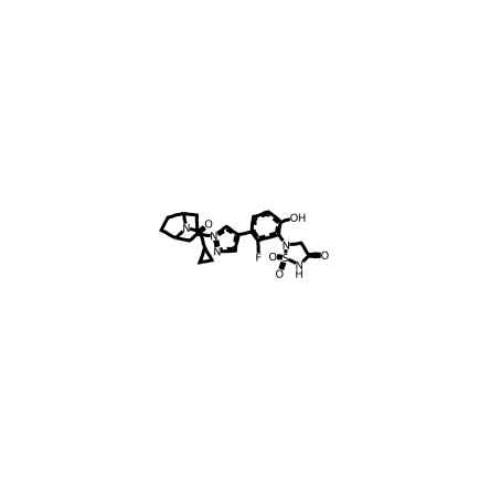 O=C1CN(c2c(O)ccc(-c3cnn(C4CC5CCC(C4)N5C(=O)C4CC4)c3)c2F)S(=O)(=O)N1